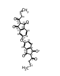 CSCC(=O)C1C(=O)c2ccc(Oc3ccc4c(c3)C(=O)C(C(=O)CSC)C4=O)cc2C1=O